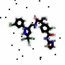 CC(C(=O)NCc1cc(C(F)(F)F)nn1-c1cccc(Cl)c1)c1ccc(C(=O)Nc2nccs2)c(F)c1